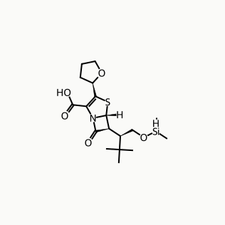 C[SiH](C)OC[C@H]([C@H]1C(=O)N2C(C(=O)O)=C([C@H]3CCCO3)S[C@H]12)C(C)(C)C